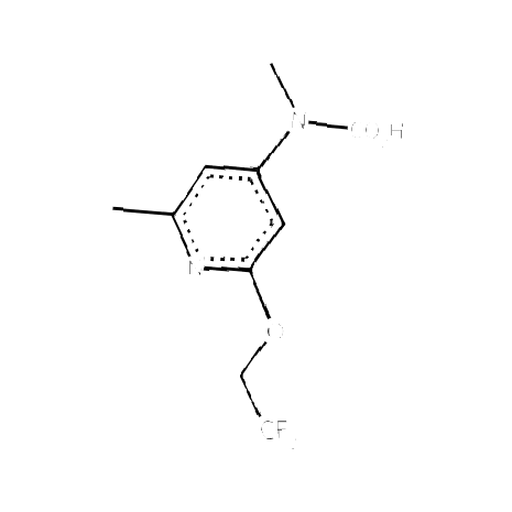 Cc1cc(N(C)C(=O)O)cc(OCC(F)(F)F)n1